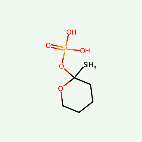 O=P(O)(O)OC1([SiH3])CCCCO1